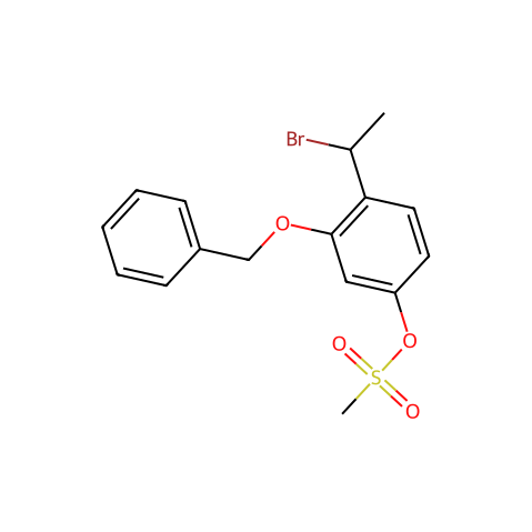 CC(Br)c1ccc(OS(C)(=O)=O)cc1OCc1ccccc1